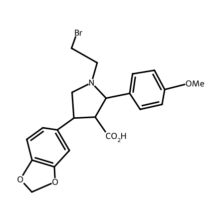 COc1ccc(C2C(C(=O)O)C(c3ccc4c(c3)OCO4)CN2CCBr)cc1